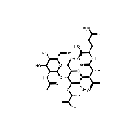 CC(=O)N[C@H]1C(O[C@H]2[C@H](O[C@H](C)C(=O)O)[C@@H](N)C(N(C(C)=O)[C@@H](C)C(=O)N[C@H](CCC(N)=O)C(=O)O)O[C@@H]2CO)O[C@H](CO)[C@@H](O)[C@@H]1O